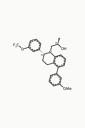 COc1cccc(-c2cccc3c2CC[C@H](c2cccc(OC(F)(F)F)c2)N3C[C@@H](C)O)c1